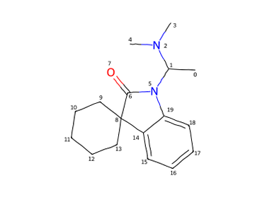 CC(N(C)C)N1C(=O)C2(CCCCC2)c2ccccc21